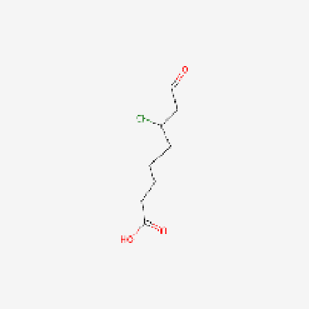 O=CCC(Cl)CCCCC(=O)O